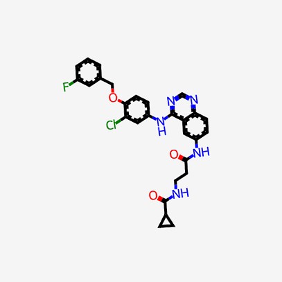 O=C(CCNC(=O)C1CC1)Nc1ccc2ncnc(Nc3ccc(OCc4cccc(F)c4)c(Cl)c3)c2c1